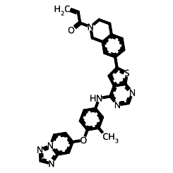 C=CC(=O)N1CCc2ccc(-c3cc4c(Nc5ccc(Oc6ccn7ncnc7c6)c(C)c5)ncnc4s3)cc2C1